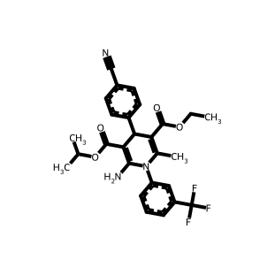 CCOC(=O)C1=C(C)N(c2cccc(C(F)(F)F)c2)C(N)=C(C(=O)OC(C)C)C1c1ccc(C#N)cc1